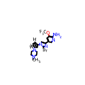 CC(C)c1nc(-c2cnc(N)c(OC(F)(F)F)c2)cn1C12C3[C@@H](N4CCN(C)CC4)C[C@@H]1[C@H]32